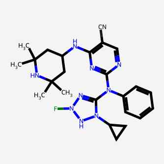 CC1(C)CC(Nc2nc(N(C3=NN(F)NN3C3CC3)c3ccccc3)ncc2C#N)CC(C)(C)N1